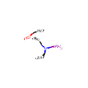 CCCCN(P)CCCC.O=NO